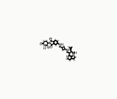 N=C(/C(=C\NC1CC(CNc2ccc3c(c2)C(=O)N(C2CCC(=O)NC2=O)C3=O)C1)c1nccc2cc[nH]c12)C1CC1